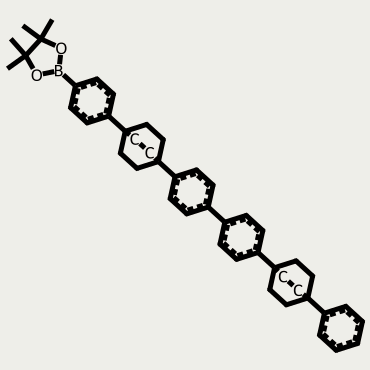 CC1(C)OB(c2ccc(C34CCC(c5ccc(-c6ccc(C78CCC(c9ccccc9)(CC7)CC8)cc6)cc5)(CC3)CC4)cc2)OC1(C)C